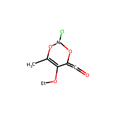 CCOC1=C(C)[O][Al]([Cl])[O]C1=C=O